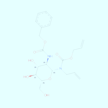 C=CCOC(=O)N(CC=C)[C@@H]1O[C@H](CO)[C@@H](O)[C@H](O)[C@H]1NC(=O)OCc1ccccc1